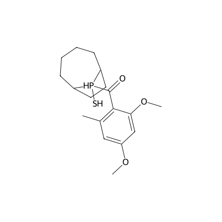 COc1cc(C)c(C(=O)[PH]2(S)C3CCCCC2CC3)c(OC)c1